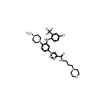 CN1CCN(c2ccc(-n3cc(C(=O)NCCCN4CCOCC4)nn3)cc2Nc2ccc(Cl)cc2C(F)(F)F)CC1